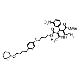 COC(=O)C1=C(C)NC(C)=C(C(=O)OCCCCSc2ccc(CCCCOC3CCCCO3)cc2)C1c1cccc([N+](=O)[O-])c1